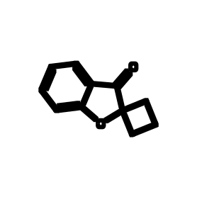 O=C1c2ccccc2OC12CCC2